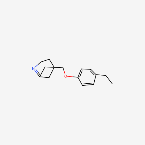 CCc1ccc(OCC23CCN=C(C2)C3)cc1